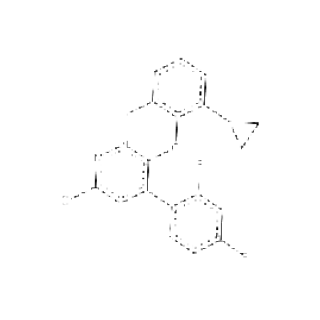 Cc1cccc(C2CC2)c1Oc1nnc(Cl)cc1-c1ccc(F)cc1F